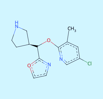 Cc1cc(Cl)cnc1OC(c1ncco1)[C@H]1CCNC1